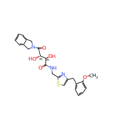 COc1ccccc1Cc1csc(CNC(=O)[C@H](O)[C@@H](O)C(=O)N2Cc3ccccc3C2)n1